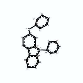 c1ccc(Oc2ccc3c4ccccc4n(-c4ccccc4)c3c2)cc1